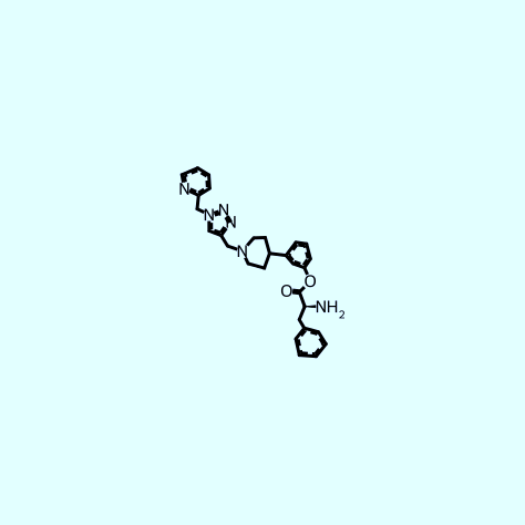 N[C@@H](Cc1ccccc1)C(=O)Oc1cccc(C2CCN(Cc3cn(Cc4ccccn4)nn3)CC2)c1